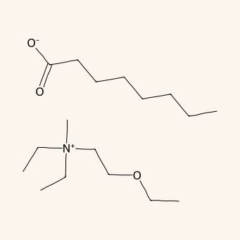 CCCCCCCC(=O)[O-].CCOCC[N+](C)(CC)CC